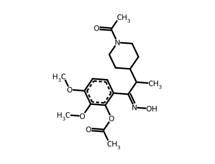 COc1ccc(C(=NO)C(C)C2CCN(C(C)=O)CC2)c(OC(C)=O)c1OC